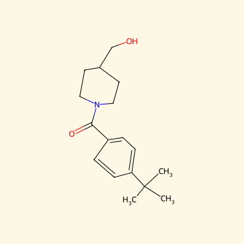 CC(C)(C)c1ccc(C(=O)N2CCC(CO)CC2)cc1